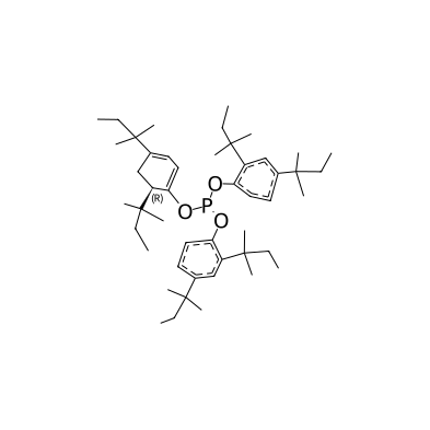 CCC(C)(C)C1=CC=C(OP(Oc2ccc(C(C)(C)CC)cc2C(C)(C)CC)Oc2ccc(C(C)(C)CC)cc2C(C)(C)CC)[C@@H](C(C)(C)CC)C1